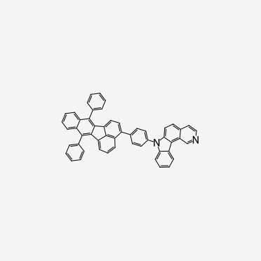 c1ccc(-c2c3c(c(-c4ccccc4)c4ccccc24)-c2ccc(-c4ccc(-n5c6ccccc6c6c7cnccc7ccc65)cc4)c4cccc-3c24)cc1